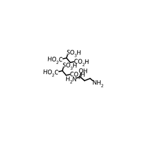 NCCC(N)O.O=C(O)CC(C(=O)O)S(=O)(=O)O.O=C(O)CC(C(=O)O)S(=O)(=O)O